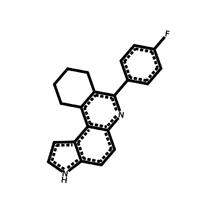 Fc1ccc(-c2nc3ccc4[nH]ccc4c3c3c2CCCC3)cc1